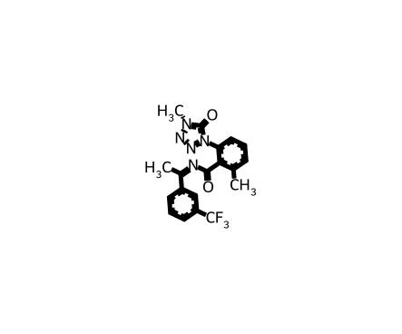 CC(=NC(=O)c1c(C)cccc1-n1nnn(C)c1=O)c1cccc(C(F)(F)F)c1